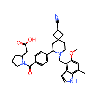 COc1cc(C)c2[nH]ccc2c1CN1CCC2(CC(C#N)C2)CC1c1ccc(C(=O)N2CCCC2CC(=O)O)cc1